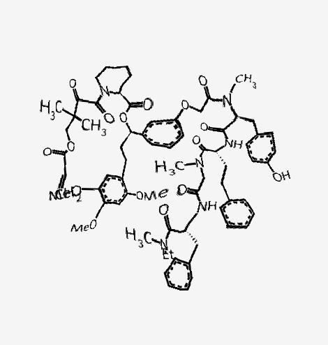 C=CC(=O)OCC(C)(C)C(=O)C(=O)N1CCCC[C@H]1C(=O)O[C@H](CCc1cc(OC)c(OC)cc1OC)c1cccc(OCC(=O)N(C)[C@@H](Cc2ccc(O)cc2)C(=O)N[C@H](CCc2ccccc2)C(=O)N(C)CC(=O)N[C@H](Cc2ccccc2)C(=O)N(C)CC)c1